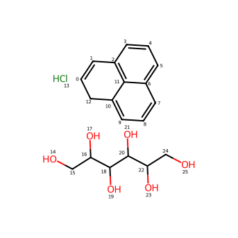 C1=Cc2cccc3cccc(c23)C1.Cl.OCC(O)C(O)C(O)C(O)CO